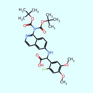 COc1cc(F)c(C(Nc2ccc3c(N(C(=O)OC(C)(C)C)C(=O)OC(C)(C)C)nccc3c2)C(=O)O)cc1OC